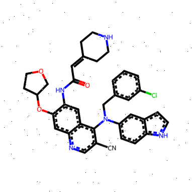 N#Cc1cnc2cc(OC3CCOC3)c(NC(=O)C=C3CCNCC3)cc2c1N(Cc1cccc(Cl)c1)c1ccc2[nH]ccc2c1